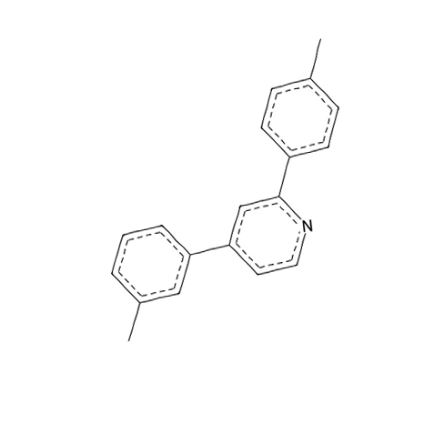 Cc1ccc(-c2cc(-c3cccc(C)c3)ccn2)cc1